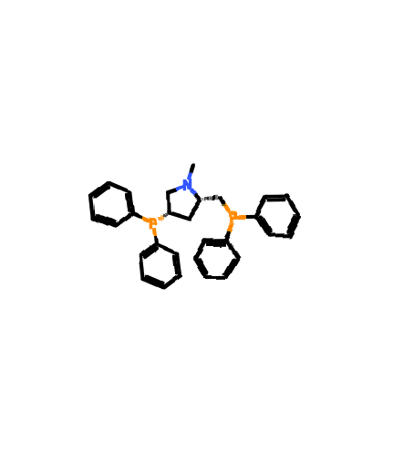 CN1C[C@@H](P(c2ccccc2)c2ccccc2)C[C@H]1CP(c1ccccc1)c1ccccc1